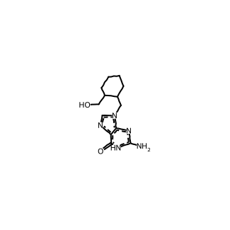 Nc1nc2c(ncn2CC2CCCCC2CO)c(=O)[nH]1